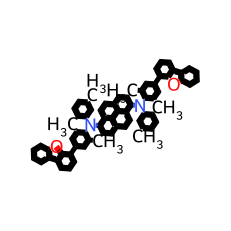 Cc1cccc(N(c2c(C)cc(-c3cccc4c3oc3ccccc34)cc2C)c2ccc3ccc4c(N(c5cccc(C)c5)c5c(C)cc(-c6cccc7c6oc6ccccc67)cc5C)ccc5ccc2c3c54)c1